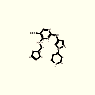 O=Cc1cnc(Nc2cnn(C3CCOCC3)c2)nc1NCC1CC=CC1